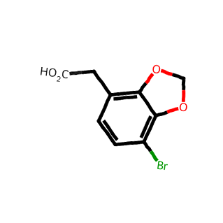 O=C(O)Cc1ccc(Br)c2c1OCO2